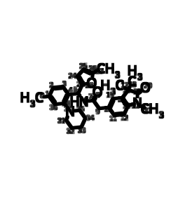 Cc1ccc(C(NC(=O)Cc2ccc3c(c2)C(C)(C)C(=O)N3C)c2ccc(C)o2)c(N2CCCCC2)c1